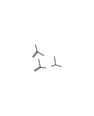 C=C(C)C.C=C(C)C.CC(C)C